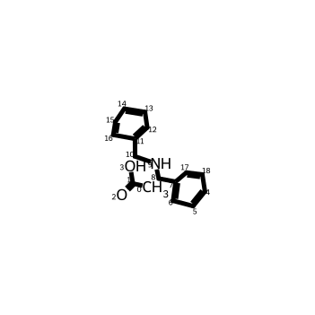 CC(=O)O.c1ccc(CNCc2ccccc2)cc1